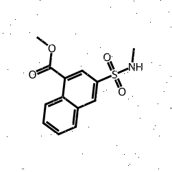 CNS(=O)(=O)c1cc(C(=O)OC)c2ccccc2c1